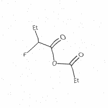 CCC(=O)OC(=O)C(F)CC